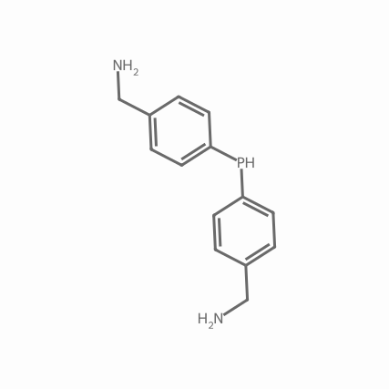 NCc1ccc(Pc2ccc(CN)cc2)cc1